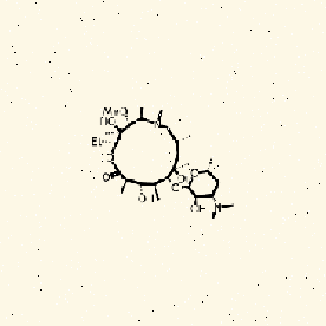 CC[C@H]1OC(=O)[C@H](C)[C@@H](O)[C@H](C)[C@@H](O[C@@H]2O[C@H](C)C[C@H](N(C)C)[C@H]2O)[C@](C)(O)C[C@@H](C)CN(C)[C@H](C)[C@@H](OC)[C@]1(C)O